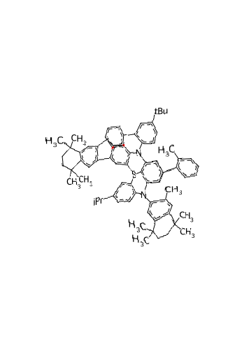 Cc1ccccc1-c1cc2c3c(c1)N(c1ccc(C(C)(C)C)cc1-c1ccccc1)c1cc4c(cc1B3c1cc(C(C)C)ccc1N2c1cc2c(cc1C)C(C)(C)CCC2(C)C)-c1cc2c(cc1C4)C(C)(C)CCC2(C)C